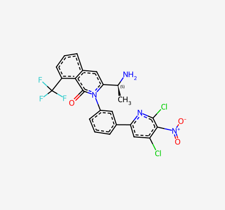 C[C@H](N)c1cc2cccc(C(F)(F)F)c2c(=O)n1-c1cccc(-c2cc(Cl)c([N+](=O)[O-])c(Cl)n2)c1